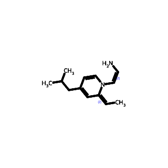 C/C=C1/C=C(CC(C)C)C=CN1/C=C\N